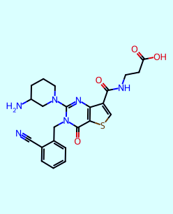 N#Cc1ccccc1Cn1c(N2CCCC(N)C2)nc2c(C(=O)NCCC(=O)O)csc2c1=O